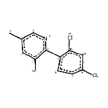 Cc1cnc(-c2ccc(Cl)cc2Cl)c(C)c1